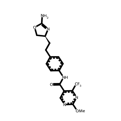 COc1ncc(C(=O)Nc2ccc(CC[C@H]3COC(N)=N3)cc2)c(C(F)(F)F)n1